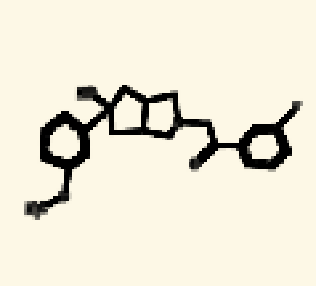 COc1cccc(C2(O)CC3CN(CC(=O)c4cccc(F)c4)CC3C2)c1